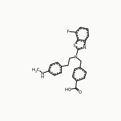 CNc1ccc(CCN(Cc2ccc(C(=O)O)cc2)c2nc3cccc(F)c3s2)cc1